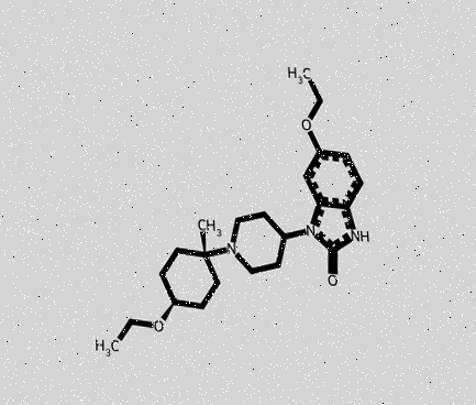 CCOc1ccc2[nH]c(=O)n(C3CCN([C@]4(C)CC[C@@H](OCC)CC4)CC3)c2c1